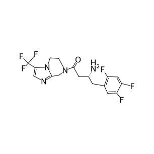 N[C@@H](CC(=O)N1CCn2c(C(F)(F)F)cnc2C1)Cc1cc(F)c(F)cc1F